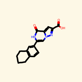 O=C(O)c1cc2c(=O)[nH]c(-c3ccc4c(c3)CCCC4)cn2n1